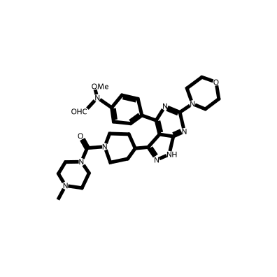 CON(C=O)c1ccc(-c2nc(N3CCOCC3)nc3[nH]nc(C4CCN(C(=O)N5CCN(C)CC5)CC4)c23)cc1